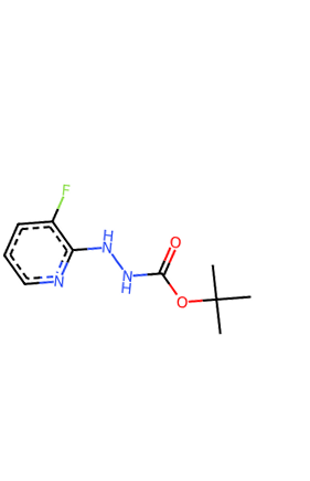 CC(C)(C)OC(=O)NNc1ncccc1F